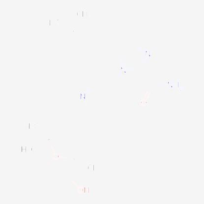 CC1(C)CC=C(c2nc(C3CC(C)(C)OC(C)(CO)C3)ccc2-n2ccnc2C(N)=O)CC1